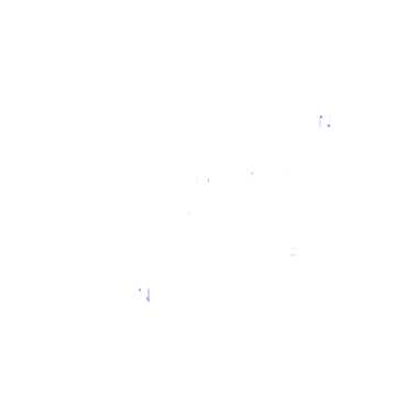 N#Cc1ccc(CC(C#N)C(=O)c2ccccc2)c(F)c1